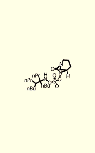 CCCCC(CCC)C(CCC)(CCCC)NOS(=O)(=O)ON1C(=O)N2CCC[C@H]1C2